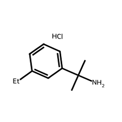 CCc1cccc(C(C)(C)N)c1.Cl